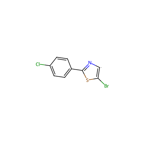 Clc1ccc(-c2n[c]c(Br)s2)cc1